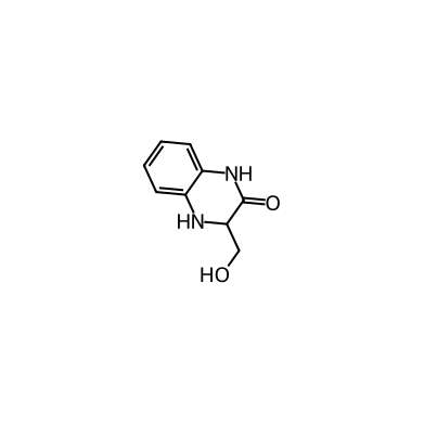 O=C1Nc2ccccc2NC1CO